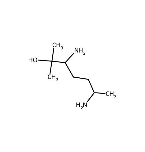 CC(N)CCC(N)C(C)(C)O